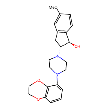 COc1ccc2c(c1)C[C@@H](N1CCN(c3cccc4c3OCCO4)CC1)[C@@H]2O